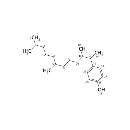 CC(C)CCCC(C)CCCC(C)C(C)c1ccc(O)cc1